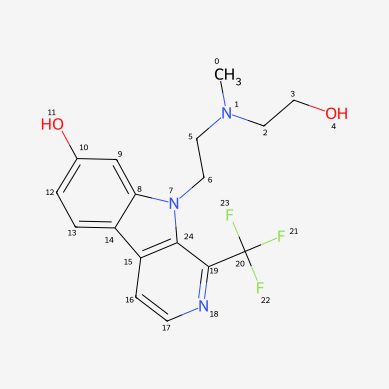 CN(CCO)CCn1c2cc(O)ccc2c2ccnc(C(F)(F)F)c21